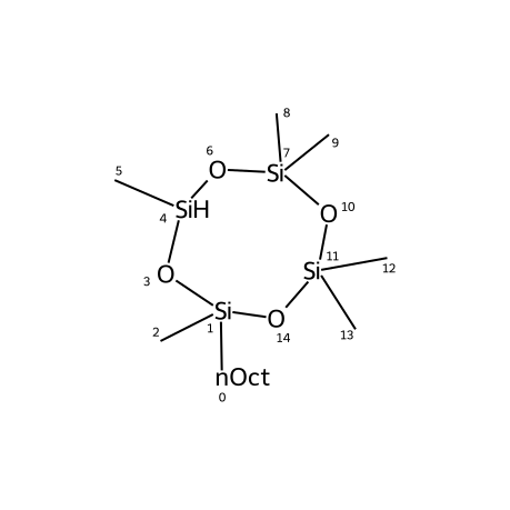 CCCCCCCC[Si]1(C)O[SiH](C)O[Si](C)(C)O[Si](C)(C)O1